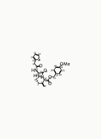 C=C1CS[C@H]2C(NC(=O)Cc3cccs3)C(=O)N2C1C(=O)OCc1ccc(OC)cc1